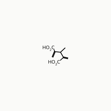 C=C(C(=O)O)C(C)C(=C)C(=O)O